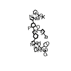 COC(=O)N[C@H](C(=O)N1CCC[C@H]1c1ncc(-c2ccc3c(c2)cc2n3C(c3ccc(C4CCC4)s3)Oc3cc(-c4cnc([C@@H]5CCCN5C(=O)OC(C)(C)C)[nH]4)cc(F)c3-2)[nH]1)C1CCOCC1